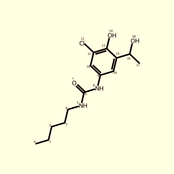 CCCCCNC(=O)Nc1cc(Cl)c(O)c(C(C)O)c1